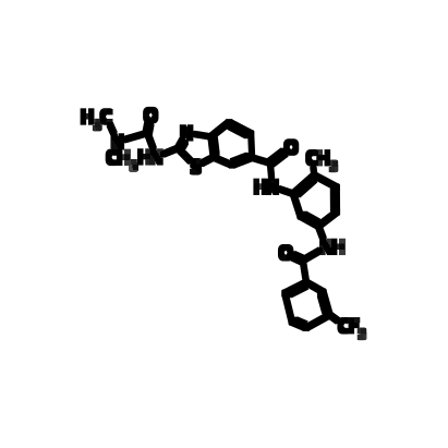 Cc1ccc(NC(=O)c2cccc(C(F)(F)F)c2)cc1NC(=O)c1ccc2nc(NC(=O)N(C)C)sc2c1